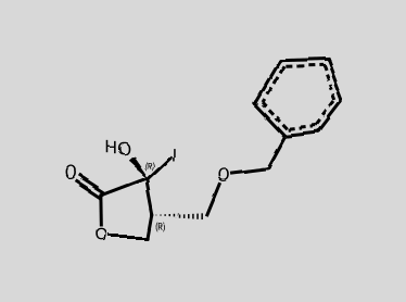 O=C1OC[C@@H](COCc2ccccc2)[C@@]1(O)I